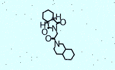 O=C(CN1C(=O)[C@H]2CCCC[C@H]2C1=O)N1CCC2CCCCC2C1